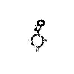 c1ccc2nc(N3CCNCCNCCNCC3)cnc2c1